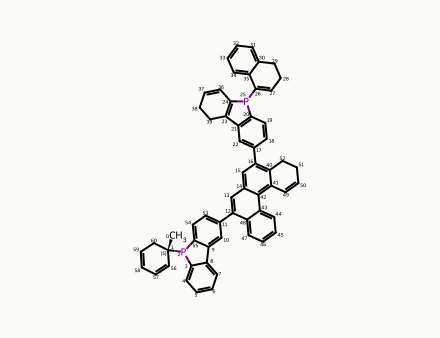 C[C@@]1(p2c3ccccc3c3cc(-c4cc5cc(-c6ccc7c(c6)c6c(p7C7=CCCc8ccccc87)C=CCC6)c6c(c5c5ccccc45)C=CCC6)ccc32)C=CC=CC1